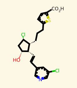 O=C(O)c1ccc(CCC[C@@H]2[C@H](C=Cc3cncc(Cl)c3)[C@H](O)C[C@@H]2Cl)s1